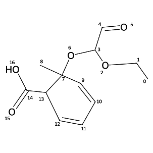 CCOC(C=O)OC1(C)C=CC=CC1C(=O)O